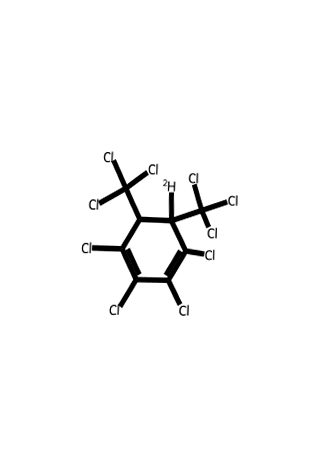 [2H]C1(C(Cl)(Cl)Cl)C(Cl)=C(Cl)C(Cl)=C(Cl)C1C(Cl)(Cl)Cl